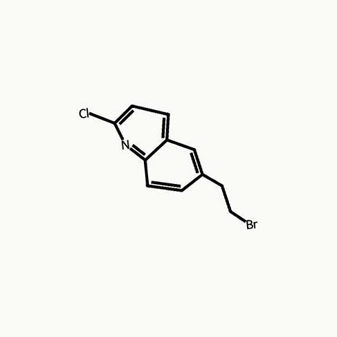 Clc1ccc2cc(CCBr)ccc2n1